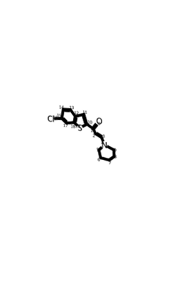 O=C(C=CN1CCCCC1)c1cc2ccc(Cl)cc2s1